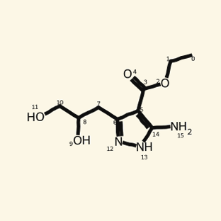 CCOC(=O)c1c(CC(O)CO)n[nH]c1N